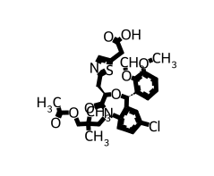 COc1cccc([C@H]2O[C@H](Cc3ncc(CC(=O)O)s3)C(=O)N(CC(C)(C)COC(C)=O)c3ccc(Cl)cc32)c1OC